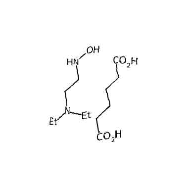 CCN(CC)CCNO.O=C(O)CCCCC(=O)O